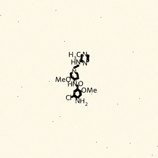 COc1cc(N)c(Cl)cc1C(=O)N[C@@H]1CCN(CCNc2nccnc2C)C[C@@H]1OC